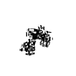 O=C([O-])[C@H](O)[C@@H](O)[C@H](O)[C@H](O)CO.O=C([O-])[C@H](O)[C@@H](O)[C@H](O)[C@H](O)CO.O=C([O-])[C@H](O)[C@@H](O)[C@H](O)[C@H](O)CO.[In+3]